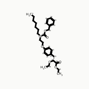 CCCCCCCN(CCOc1ccc(C[C@@H](OCC)C(=O)OCC)cc1)C(=O)OCc1ccccc1